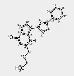 CCOCc1cc(=O)n2ncc(-c3cc(-c4ccccc4)cs3)c2[nH]1